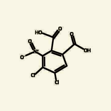 O=C(O)c1cc(Cl)c(Cl)c([N+](=O)[O-])c1C(=O)O